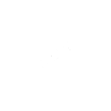 Cc1cc2c(s1)-c1cc3c(cc1C2)-c1sc(C)cc1C3